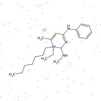 CCCCCCC[N+]1(CC)C(C)=CC(Nc2ccccc2)=NC1NC.[Cl-]